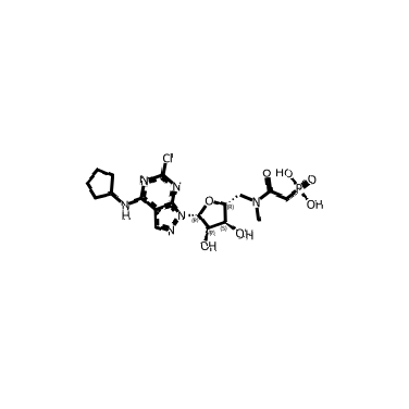 CN(C[C@H]1O[C@@H](n2ncc3c(NC4CCCC4)nc(Cl)nc32)[C@H](O)[C@@H]1O)C(=O)CP(=O)(O)O